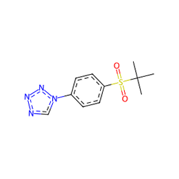 CC(C)(C)S(=O)(=O)c1ccc(-n2cnnn2)cc1